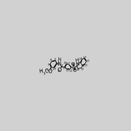 COc1cccc(NC(=O)c2ccc(S(=O)(=O)C3CCc4ccccc4N3)cc2)c1